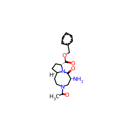 CC(=O)N1CC[C@H]2CC[C@H](C(=O)OCc3ccccc3)N2C(=O)[C@H](N)C1